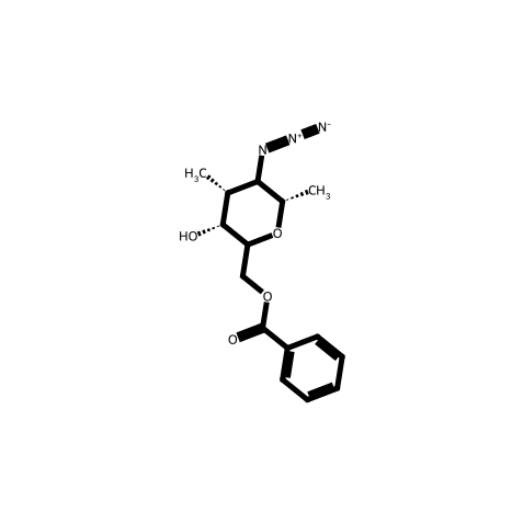 C[C@@H]1OC(COC(=O)c2ccccc2)[C@H](O)[C@H](C)C1N=[N+]=[N-]